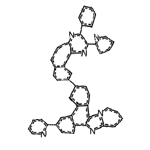 c1ccc(-c2nc3ccc4ccc(-c5ccc6c(c5)c5cc(-c7ccccn7)ccc5c5nc7ccccn7c65)cc4c3nc2-c2ccccn2)cc1